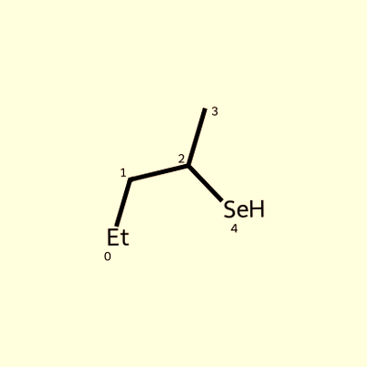 CCCC(C)[SeH]